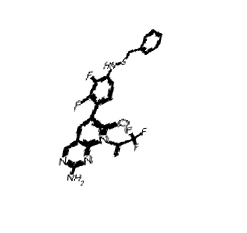 CC(n1c(=O)c(-c2ccc(NSCc3ccccc3)c(F)c2F)cc2cnc(N)nc21)C(F)(F)F